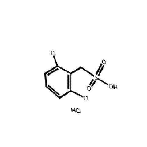 Cl.O=S(=O)(O)Cc1c(Cl)cccc1Cl